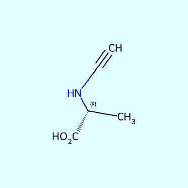 C#CN[C@H](C)C(=O)O